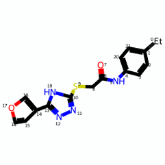 CCc1ccc(NC(=O)CSc2nnc(-c3ccoc3)[nH]2)cc1